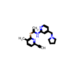 C#Cc1ccc(C)c(SC(=C)Nc2cc(CN3CCCC3)ccn2)n1